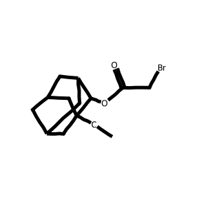 CCC12CC3CC(CC(C3)C1OC(=O)CBr)C2